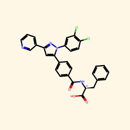 O=C(N[C@@H](Cc1ccccc1)C(=O)O)c1ccc(-c2cc(-c3cccnc3)nn2-c2ccc(Cl)c(Cl)c2)cc1